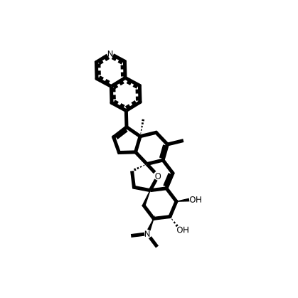 CC1=C2C=C3[C@@H](O)[C@H](O)[C@@H](N(C)C)C[C@]34CC[C@]2(O4)C2CC=C(c3ccc4cnccc4c3)[C@@]2(C)C1